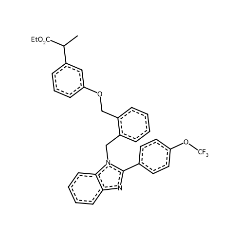 CCOC(=O)C(C)c1cccc(OCc2ccccc2Cn2c(-c3ccc(OC(F)(F)F)cc3)nc3ccccc32)c1